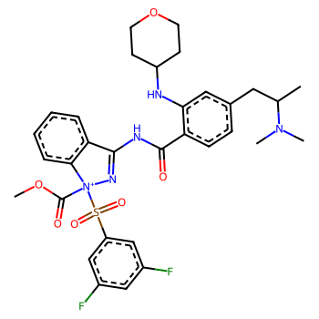 COC(=O)[N+]1(S(=O)(=O)c2cc(F)cc(F)c2)N=C(NC(=O)c2ccc(CC(C)N(C)C)cc2NC2CCOCC2)c2ccccc21